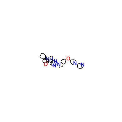 O=C(NC1(C(=O)O)CCCCC1)c1cnc(N2CCc3cc(OC4CCN(c5cccnc5)CC4)ccc32)nc1C(F)(F)F